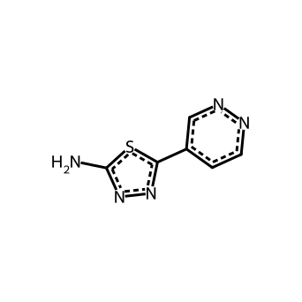 Nc1nnc(-c2ccnnc2)s1